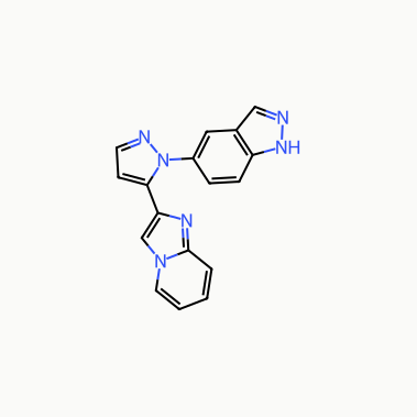 c1ccn2cc(-c3ccnn3-c3ccc4[nH]ncc4c3)nc2c1